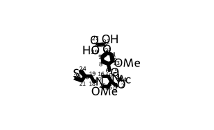 COC(=O)C1(N(OCc2ccccc2OC)C(C)=O)CCN(CCc2ccsc2)CC1.O=C(O)C(=O)O